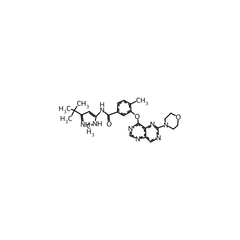 CN/C(=C\C(=N)C(C)(C)C)NC(=O)c1ccc(C)c(Oc2ncnc3cnc(N4CCOCC4)nc23)c1